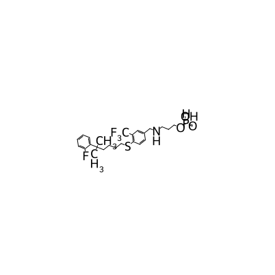 CC(C)(CCCCSc1ccc(CNCCCO[PH](=O)O)cc1C(F)(F)F)c1ccccc1F